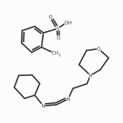 C(=NCCN1CCOCC1)=NC1CCCCC1.Cc1ccccc1S(=O)(=O)O